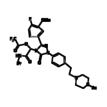 COc1cc(-c2nn(-c3ccc(CCN4CCN(C(C)=O)CC4)cc3)c(=O)n2C(OC(=O)C(F)(F)F)C(=O)NC(C)C)ccc1F